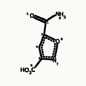 NC(=O)c1cc(C(=O)O)no1